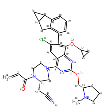 C=CC(=O)N1CCN(c2nc(OC[C@@H]3CCCN3C)nc3c(OC4CC4)c(-c4cccc5c4CC4CC54)c(Cl)cc23)C[C@@H]1CC#N